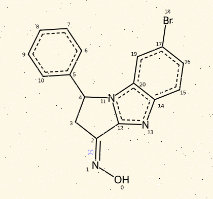 O/N=C1/CC(c2ccccc2)n2c1nc1ccc(Br)cc12